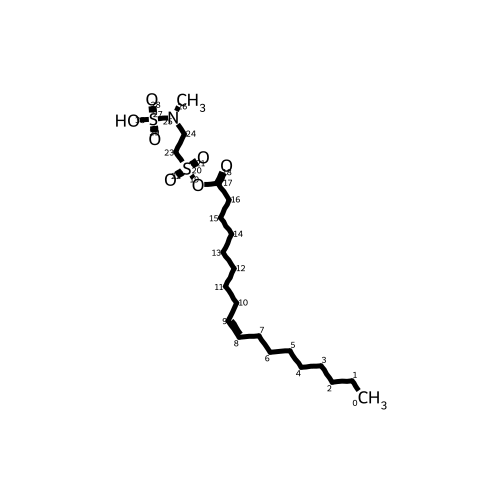 CCCCCCCC/C=C\CCCCCCCC(=O)OS(=O)(=O)CCN(C)S(=O)(=O)O